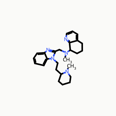 CN1CCCCC1CCn1c(CN(C)C2CCCc3cccnc32)nc2ccccc21